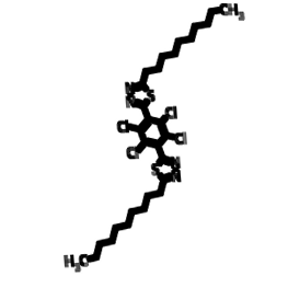 CCCCCCCCCCc1nnc(-c2c(Cl)c(Cl)c(-c3nnc(CCCCCCCCCC)s3)c(Cl)c2Cl)s1